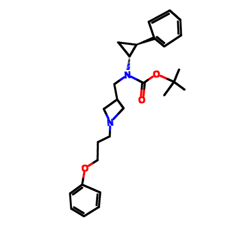 CC(C)(C)OC(=O)N(CC1CN(CCCOc2ccccc2)C1)[C@@H]1C[C@H]1c1ccccc1